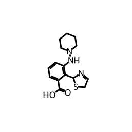 O=C(O)c1cccc(NN2CCCCC2)c1C1N=CCS1